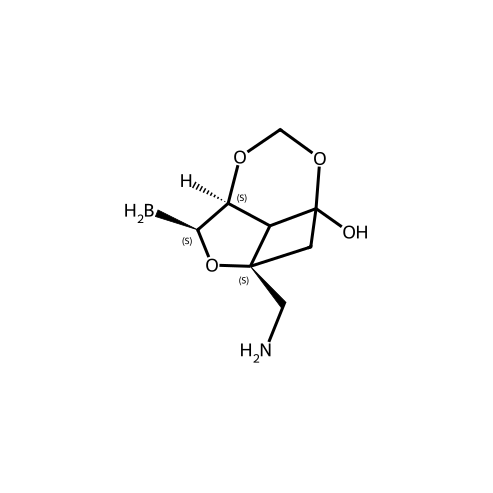 B[C@@H]1O[C@@]2(CN)CC3(O)OCO[C@H]1C32